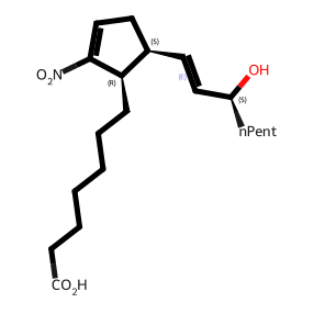 CCCCC[C@H](O)/C=C/[C@@H]1CC=C([N+](=O)[O-])[C@@H]1CCCCCCC(=O)O